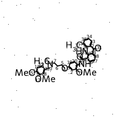 COc1cc(OCCCN(C)Cc2ccc(OC)c(OC)c2)ccc1NC(=O)c1cccc2c(=O)c3cccc(C)c3[nH]c12